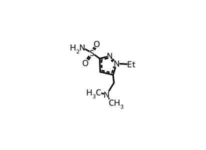 CCn1nc(S(N)(=O)=O)cc1CN(C)C